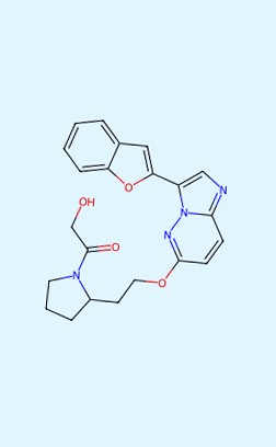 O=C(CO)N1CCCC1CCOc1ccc2ncc(-c3cc4ccccc4o3)n2n1